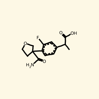 CC(C(=O)O)c1ccc(C2(C(N)=O)CCOC2)c(F)c1